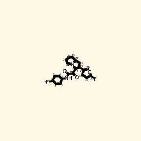 O=C(Nc1ccc(F)cc1)C(=O)c1c(-c2ccc(F)cc2)cc2ccccn12